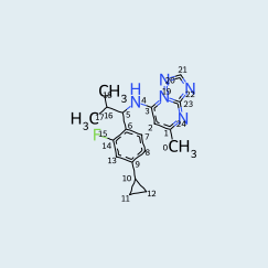 Cc1cc(NC(c2ccc(C3CC3)cc2F)C(C)C)n2ncnc2n1